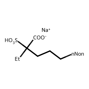 CCCCCCCCCCCCC(CC)(C(=O)[O-])S(=O)(=O)O.[Na+]